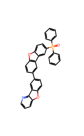 O=P(c1ccccc1)(c1ccccc1)c1ccc2oc3ccc(-c4ccc5oc6cccnc6c5c4)cc3c2c1